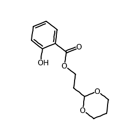 O=C(OCCC1OCCCO1)c1ccccc1O